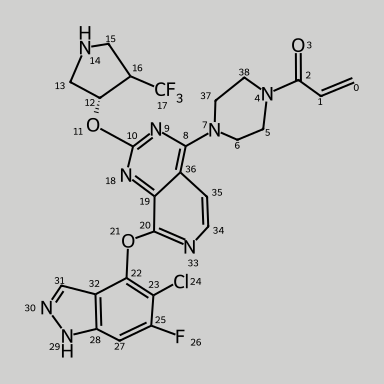 C=CC(=O)N1CCN(c2nc(O[C@@H]3CNCC3C(F)(F)F)nc3c(Oc4c(Cl)c(F)cc5[nH]ncc45)nccc23)CC1